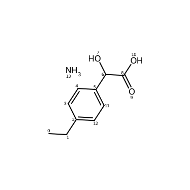 CCc1ccc(C(O)C(=O)O)cc1.N